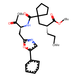 COCC[C@H](CC1(C(=O)N[C@@H](Cc2ncc(-c3ccccc3)o2)C(=O)OCC(C)C)CCCC1)C(=O)OC(C)(C)C